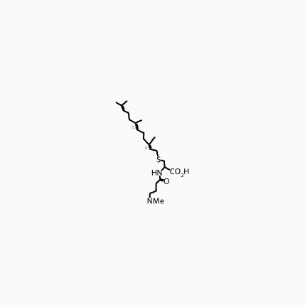 CNCCCC(=O)NC(CSC/C=C(\C)CC/C=C(\C)CCC=C(C)C)C(=O)O